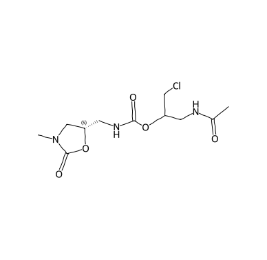 CC(=O)NCC(CCl)OC(=O)NC[C@H]1CN(C)C(=O)O1